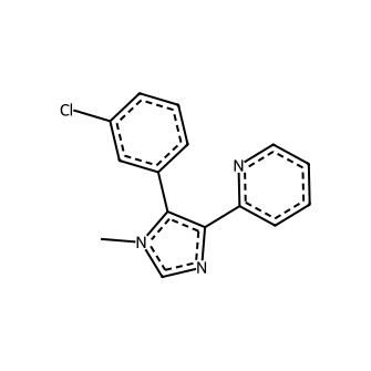 Cn1cnc(-c2ccccn2)c1-c1cccc(Cl)c1